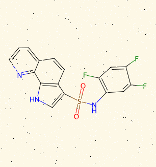 O=S(=O)(Nc1cc(F)c(F)cc1F)c1c[nH]c2c1ccc1cccnc12